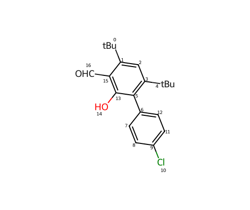 CC(C)(C)c1cc(C(C)(C)C)c(-c2ccc(Cl)cc2)c(O)c1C=O